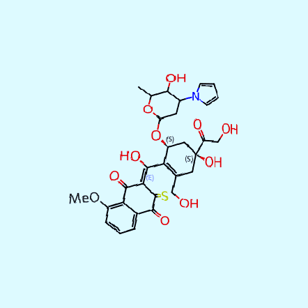 COc1cccc2c1C(=O)/C(=C(\O)C1=C(CO)C[C@@](O)(C(=O)CO)C[C@@H]1OC1CC(n3cccc3)C(O)C(C)O1)C(=S)C2=O